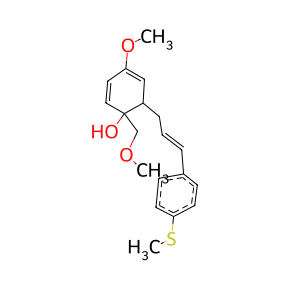 COCC1(O)C=CC(OC)=CC1CC=Cc1ccc(SC)cc1